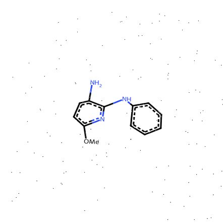 COc1ccc(N)c(Nc2ccccc2)n1